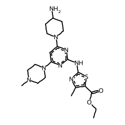 CCOC(=O)c1sc(Nc2nc(N3CCC(N)CC3)cc(N3CCN(C)CC3)n2)nc1C